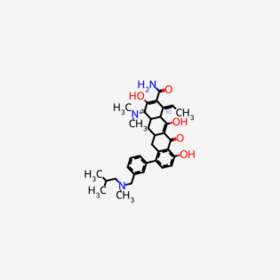 C/C=C1/C(C(N)=O)=C(O)[C@@H](N(C)C)C2CC3Cc4c(-c5cccc(CN(C)CC(C)C)c5)ccc(O)c4C(=O)C3=C(O)C12